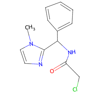 Cn1ccnc1C(NC(=O)CCl)c1ccccc1